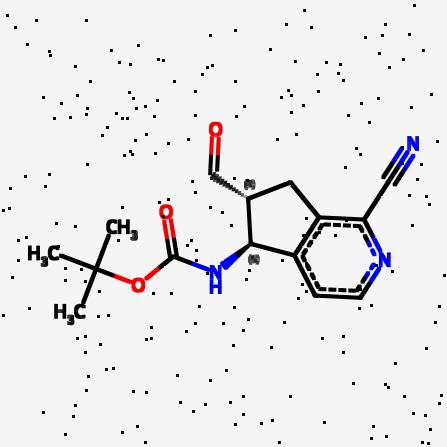 CC(C)(C)OC(=O)N[C@@H]1c2ccnc(C#N)c2C[C@H]1C=O